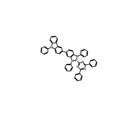 c1ccc(-c2nc(-c3ccccc3)nc(P3N(c4ccccc4)c4ccc(-c5ccc6c(c5)c5ccccc5n6-c5ccccc5)cc4N3c3ccccc3)n2)cc1